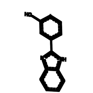 Oc1[c]ccc(-c2nc3ccccc3[nH]2)c1